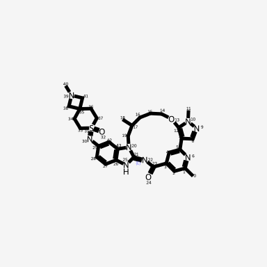 Cc1cc2cc(n1)-c1cnn(C)c1OCCCC(C)CN1/C(=N/C2=O)Nc2ccc(N=S3(=O)CCC4(CC3)CN(C)C4)cc21